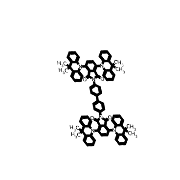 CC1(C)c2ccccc2N(c2ccc(N3c4ccccc4C(C)(C)c4ccccc43)c3c2C(=O)N(c2ccc(-c4ccc(N5C(=O)c6c(N7c8ccccc8C(C)(C)c8ccccc87)ccc(N7c8ccccc8C(C)(C)c8ccccc87)c6C5=O)cc4)cc2)C3=O)c2ccccc21